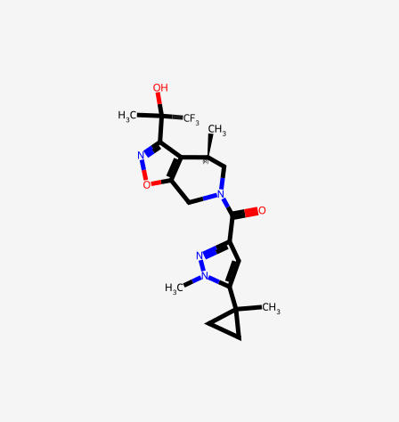 C[C@H]1CN(C(=O)c2cc(C3(C)CC3)n(C)n2)Cc2onc(C(C)(O)C(F)(F)F)c21